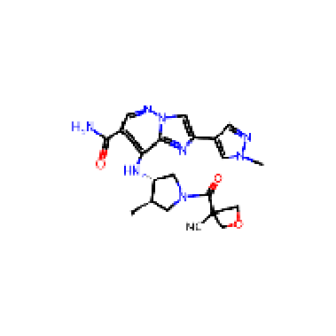 C[C@@H]1CN(C(=O)C2(C#N)COC2)C[C@H]1Nc1c(C(N)=O)cnn2cc(-c3cnn(C)c3)nc12